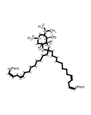 CCCCC/C=C\C/C=C\CCCCCCCCC1(CCCCCCCC/C=C\C/C=C\CCCCC)O[C@H]2[C@H](O)C(N(C)C)CN(C)C[C@H]2O1